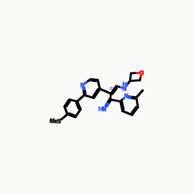 CSc1ccc(-c2cc(/C(=C/NC3COC3)C(=N)c3cccc(C)n3)ccn2)cc1